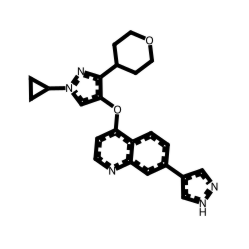 c1cc(Oc2cn(C3CC3)nc2C2CCOCC2)c2ccc(-c3cn[nH]c3)cc2n1